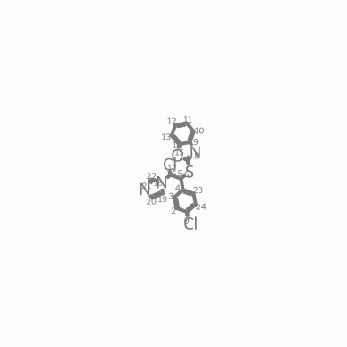 Clc1ccc(C(Sc2nc3ccccc3o2)C(Cl)n2ccnc2)cc1